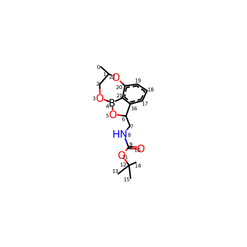 CC1COB2OC(CNC(=O)OC(C)(C)C)c3cccc(c32)O1